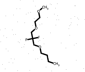 CCCCOCC(F)(F)COCCOC